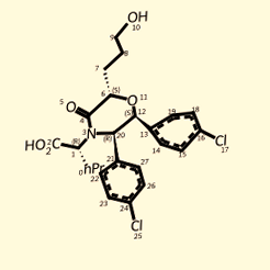 CCC[C@H](C(=O)O)N1C(=O)[C@H](CCCO)O[C@@H](c2ccc(Cl)cc2)[C@H]1c1ccc(Cl)cc1